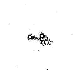 CCN(CC)C(=O)C1CCCc2c1c1c(F)cccc1n2CCOCc1ccccc1